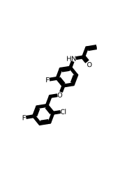 C=CC(=O)Nc1ccc(OCc2cc(F)ccc2Cl)c(F)c1